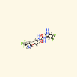 O=C(Nc1c[nH]c2cc(F)c(F)cc12)C(=O)N[C@H]1CC[C@@H](Oc2ccc(C(F)(F)F)cn2)CC1